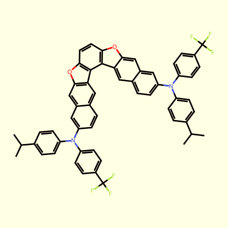 CC(C)c1ccc(N(c2ccc(C(F)(F)F)cc2)c2ccc3cc4c(cc3c2)oc2ccc3oc5cc6cc(N(c7ccc(C(C)C)cc7)c7ccc(C(F)(F)F)cc7)ccc6cc5c3c24)cc1